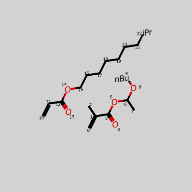 C=C(C)C(=O)OC(C)OCCCC.C=CC(=O)OCCCCCCCC(C)C